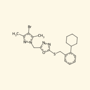 Cc1nn(Cc2nnc(SCc3ccccc3C3CCCCC3)o2)c(C)c1Br